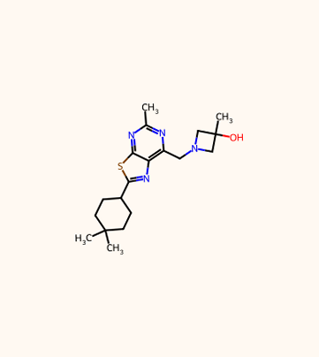 Cc1nc(CN2CC(C)(O)C2)c2nc(C3CCC(C)(C)CC3)sc2n1